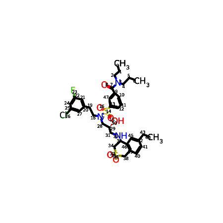 CCCN(CCC)C(=O)c1cccc(S(=O)(=O)N(CCc2cc(F)cc(Cl)c2)C[C@H](O)CN[C@H]2CS(=O)(=O)Cc3ccc(CC)cc32)c1